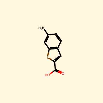 Bc1ccc2cc(C(=O)O)sc2c1